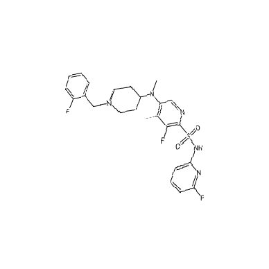 Cc1c(N(C)C2CCN(Cc3ccccc3F)CC2)cnc(S(=O)(=O)Nc2cccc(F)n2)c1F